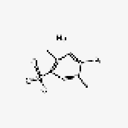 Cc1cc(S(=O)(=O)[O-])c(C)cc1C(C)C.[Na+]